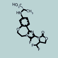 C[C@H](Nc1ccc2c(c1)OCCn1c-2nc(N2C(=O)OCC2C(F)F)c1F)C(=O)O